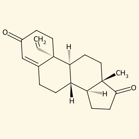 C=C[C@@]12CCC(=O)C=C1CC[C@H]1[C@@H]3CCC(=O)[C@@]3(C)CC[C@@H]12